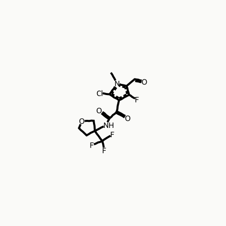 Cn1c(Cl)c(C(=O)C(=O)NC2(C(F)(F)F)CCOC2)c(F)c1C=O